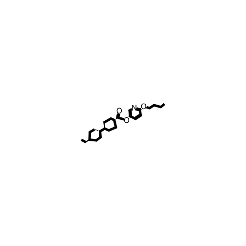 CCCCOc1ccc(OC(=O)[C@H]2CC[C@H]([C@H]3CC[C@H](CC)CC3)CC2)cn1